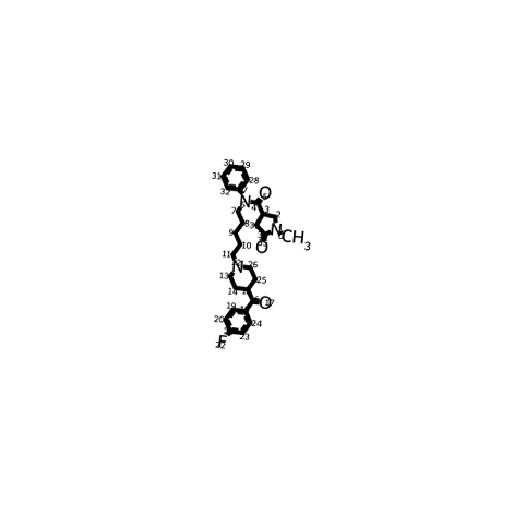 CN1CC(C(=O)N(CCCCCN2CCC(C(=O)c3ccc(F)cc3)CC2)c2ccccc2)CC1=O